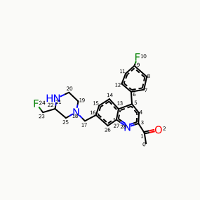 CC(=O)c1cc(-c2ccc(F)cc2)c2ccc(CN3CCNC(CF)C3)cc2n1